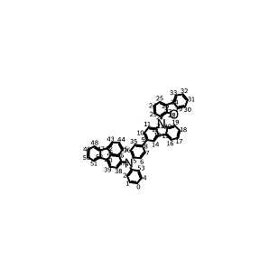 c1ccc(N(c2ccc(-c3ccc4c(c3)c3ccccc3n4-c3cccc4c3oc3ccccc34)cc2)c2ccc3c4c(cccc24)-c2ccccc2-3)cc1